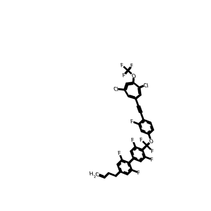 C=CCCc1cc(F)c(-c2cc(F)c(C(F)(F)Oc3ccc(C#CC4=CC(Cl)=C=C(OC(F)(F)F)C(Cl)=C4)c(F)c3)c(F)c2)c(F)c1